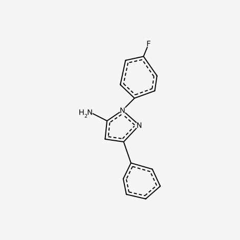 Nc1cc(-c2ccccc2)nn1-c1ccc(F)cc1